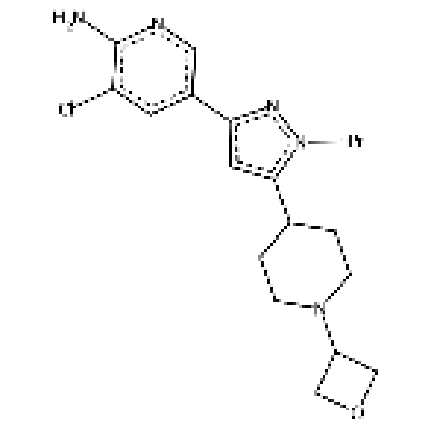 CC(C)n1nc(-c2cnc(N)c(Cl)c2)cc1C1CCN(C2COC2)CC1